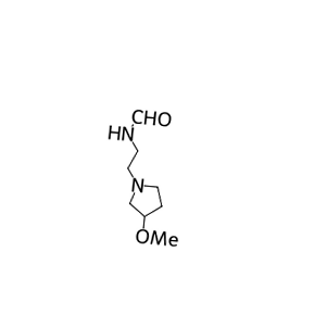 COC1CCN(CCNC=O)C1